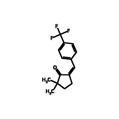 CC1(C)CCC(=Cc2ccc(C(F)(F)F)cc2)C1=O